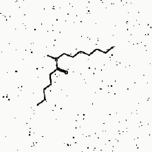 [CH2]CCCCCCN(C)C(=O)CCCCC